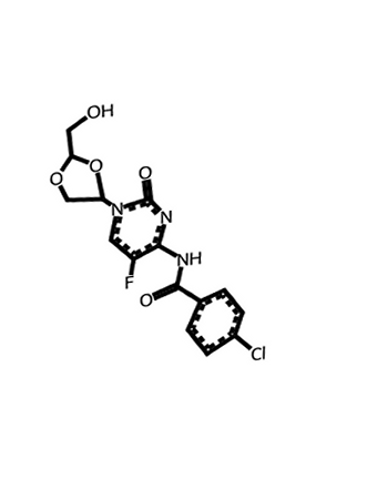 O=C(Nc1nc(=O)n(C2COC(CO)O2)cc1F)c1ccc(Cl)cc1